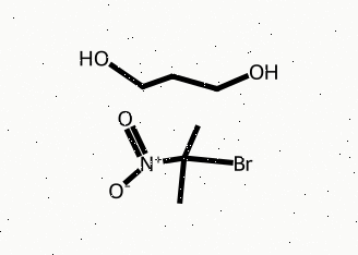 CC(C)(Br)[N+](=O)[O-].OCCCO